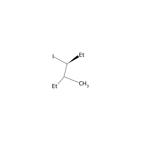 CCC(C)[C@@H](I)CC